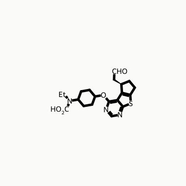 CCN(C(=O)O)C1CCC(Oc2ncnc3sc4c(c23)[C@@H](CC=O)CC4)CC1